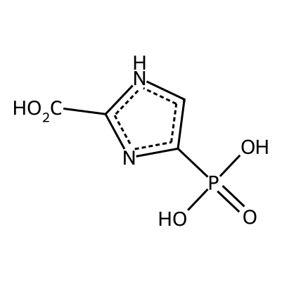 O=C(O)c1nc(P(=O)(O)O)c[nH]1